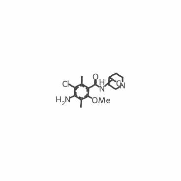 COc1c(C)c(N)c(Cl)c(C)c1C(=O)NC1CN2CCC1CC2